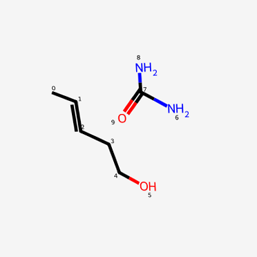 CC=CCCO.NC(N)=O